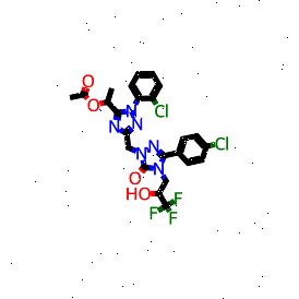 CC(=O)OC(C)c1nc(Cn2nc(-c3ccc(Cl)cc3)n(CC(O)C(F)(F)F)c2=O)nn1-c1ccccc1Cl